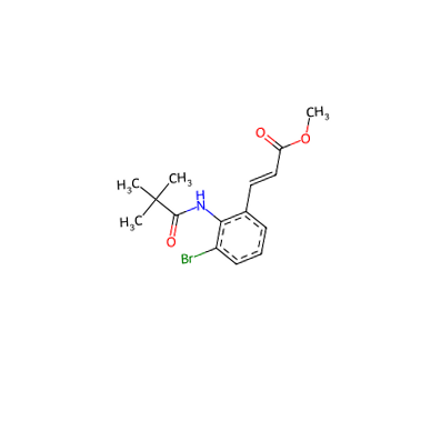 COC(=O)/C=C/c1cccc(Br)c1NC(=O)C(C)(C)C